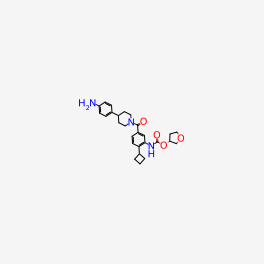 Nc1ccc(C2CCN(C(=O)c3ccc(C4CCC4)c(NC(=O)O[C@@H]4CCOC4)c3)CC2)cc1